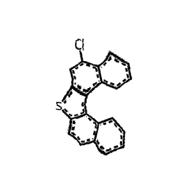 Clc1cc2sc3ccc4ccccc4c3c2c2ccccc12